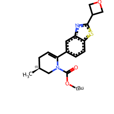 C[C@H]1CC=C(c2ccc3sc(C4COC4)nc3c2)N(C(=O)OC(C)(C)C)C1